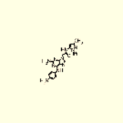 Cc1cc(NC(=O)Cn2cnc3c(Nc4ccc(N)cc4)nc(N)nc32)n(C(C)C)n1